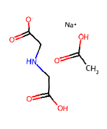 CC(=O)O.O=C([O-])CNCC(=O)O.[Na+]